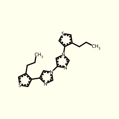 CCCc1cscc1-c1cn(-c2cn(-c3cscc3CCC)cn2)cn1